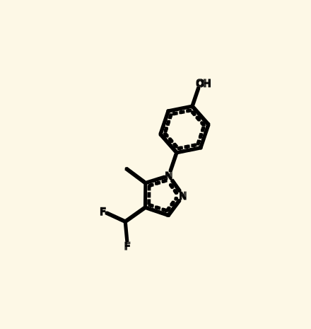 Cc1c(C(F)F)cnn1-c1ccc(O)cc1